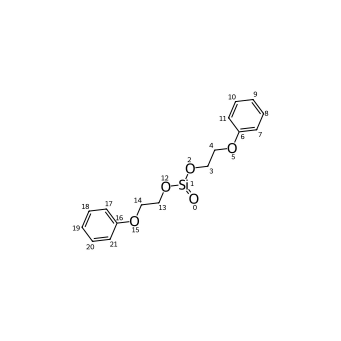 O=[Si](OCCOc1ccccc1)OCCOc1ccccc1